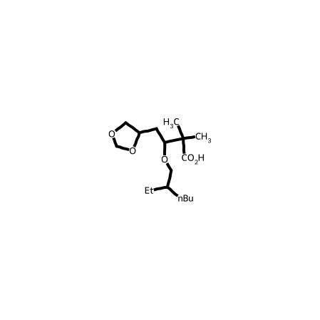 CCCCC(CC)COC(CC1COCO1)C(C)(C)C(=O)O